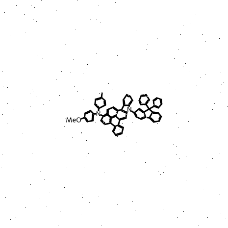 COc1ccc(N(c2ccc(C)cc2)c2ccc(-c3ccccc3-c3cc4c(c5ccccc35)c3ccccc3n4-c3ccc4c(c3)C(c3ccccc3)(c3ccccc3)c3ccccc3-4)cc2)cc1